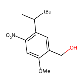 COc1cc([N+](=O)[O-])c(C(C)C(C)(C)C)cc1CO